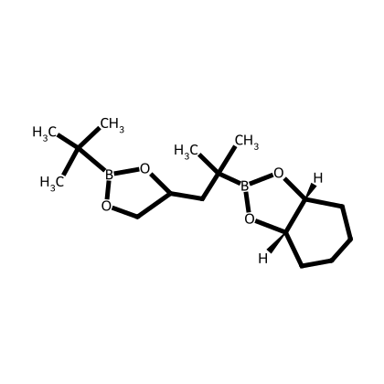 CC(C)(C)B1OCC(CC(C)(C)B2O[C@H]3CCCC[C@H]3O2)O1